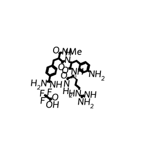 CNC(=O)C(Cc1ccc(C(=N)N)cc1)C(=O)NC(Cc1ccc(N)cc1)C(=O)N[C@@H](CCCNC(=N)N)C(N)=O.O=C(O)C(F)(F)F